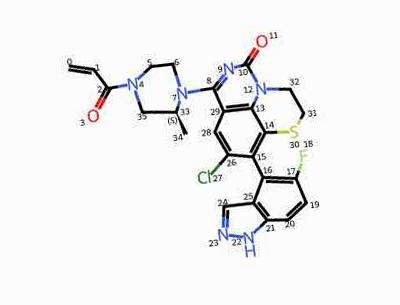 C=CC(=O)N1CCN(c2nc(=O)n3c4c(c(-c5c(F)ccc6[nH]ncc56)c(Cl)cc24)SCC3)[C@@H](C)C1